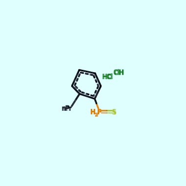 CCCc1ccccc1[PH2]=S.Cl.Cl